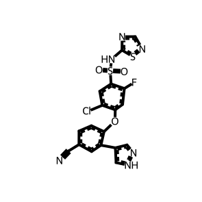 N#Cc1ccc(Oc2cc(F)c(S(=O)(=O)Nc3ncns3)cc2Cl)c(-c2cn[nH]c2)c1